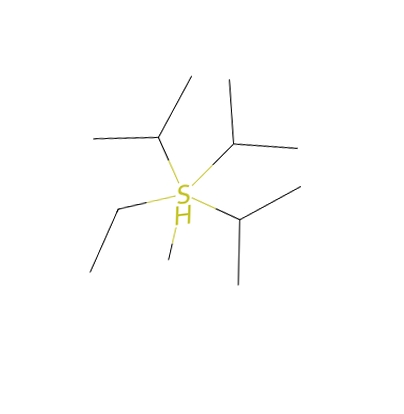 CC[SH](C)(C(C)C)(C(C)C)C(C)C